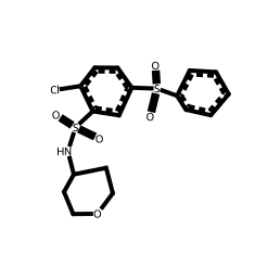 O=S(=O)(NC1CCOCC1)c1cc(S(=O)(=O)c2ccccc2)ccc1Cl